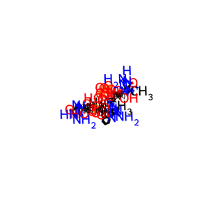 CN(C)C(=O)C[C@@H]1[C@@H](COP(=O)(O)OP(=O)(O)OP(=O)(O)OC[C@H]2O[C@@H](n3cnc4c(N)ncnc43)[C@H](Oc3ccccc3)[C@@H]2P(=O)(O)OC[C@H]2O[C@@H](n3cnc4c(=O)[nH]c(N)nc43)[C@H](O)[C@@H]2O)OC(n2c[n+](C)c3c(=O)[nH]c(N)nc32)[C@@H]1O